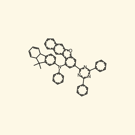 CC1(C)c2cc(N(c3ccccc3)c3cc(-c4nc(-c5ccccc5)nc(-c5ccccc5)n4)cc4oc5cc6ccccc6cc5c34)ccc2C2C=CC=CC21